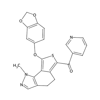 Cn1ncc2c1-c1c(Oc3ccc4c(c3)OCO4)sc(C(=O)c3cccnc3)c1CC2